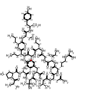 CC[C@H](C)[C@H](NC(=O)[C@@H]1C[C@@H](O)CN1C(=O)[C@@H](N)C(C)C)C(=O)N[C@H](C(=O)N[C@@H](Cc1ccc(O)cc1)C(=O)N[C@H](C(=O)N[C@@H](CC(N)=O)C(=O)N[C@@H](CCCNC(=N)N)C(=O)N[C@@H](CCN)C(=O)N[C@@H](CO)C(=O)N[C@H](CCN)C(=O)N[C@@H](CO)C(=O)N[C@@H](CCN)C(=O)N[C@@H](CCN)C(=O)N[C@@H](CS)C(=O)N[C@@H](Cc1ccc(O)cc1)C(=O)O)[C@@H](C)O)C(C)(C)S